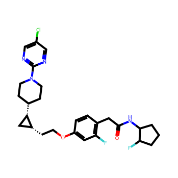 O=C(Cc1ccc(OCC[C@@H]2C[C@@H]2C2CCN(c3ncc(Cl)cn3)CC2)cc1F)NC1CCCC1F